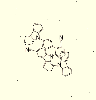 N#Cc1ccc2c(c1)c1cccc(-n3c4ccccc4c4ccccc43)c1n2-c1cccc(C#N)c1-c1ccc(-n2c3ccccc3c3ccccc32)cc1